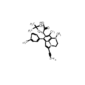 CC#Cc1cc2c(-c3ccc(C)cc3)c([C@H](OC(C)(C)C)C(=O)O)c(C)c3c2n1CCN3C